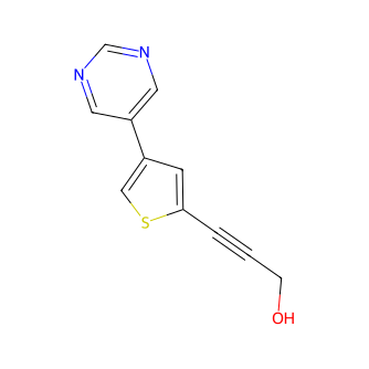 OCC#Cc1cc(-c2cncnc2)cs1